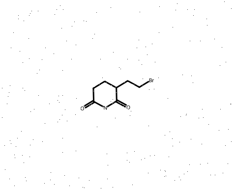 O=C1CCC(CCBr)C(=O)[N]1